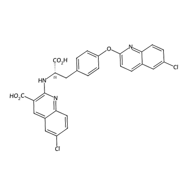 O=C(O)c1cc2cc(Cl)ccc2nc1N[C@@H](Cc1ccc(Oc2ccc3cc(Cl)ccc3n2)cc1)C(=O)O